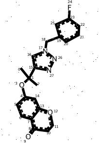 CC(C)(Oc1ccc2c(=O)ccoc2c1)c1cn(Cc2cccc(F)c2)nn1